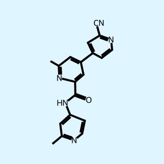 Cc1cc(NC(=O)c2cc(-c3ccnc(C#N)c3)cc(C)n2)ccn1